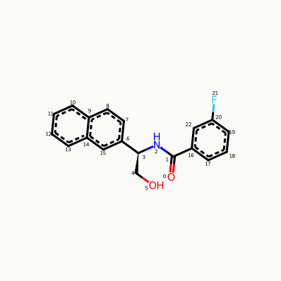 O=C(N[C@@H](CO)c1ccc2ccccc2c1)c1cccc(F)c1